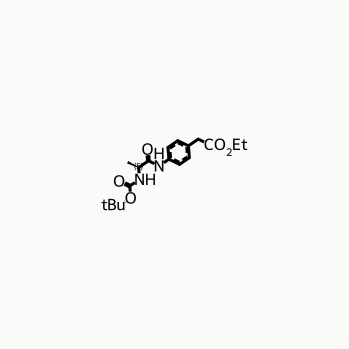 CCOC(=O)Cc1ccc(NC(=O)[C@H](C)NC(=O)OC(C)(C)C)cc1